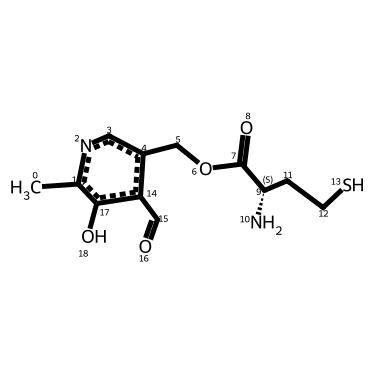 Cc1ncc(COC(=O)[C@@H](N)CCS)c(C=O)c1O